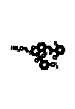 CC(=Cc1ccc2c(c1F)N(S(=O)(=O)c1cccc(C(F)(F)F)c1)C[C@H](CCC(=O)O)O2)c1c(F)cccc1Cl